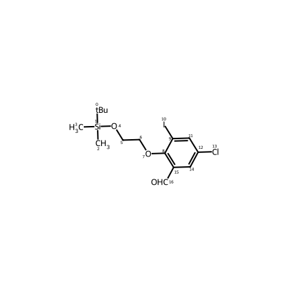 CC(C)(C)[Si](C)(C)OCCOc1c(I)cc(Cl)cc1C=O